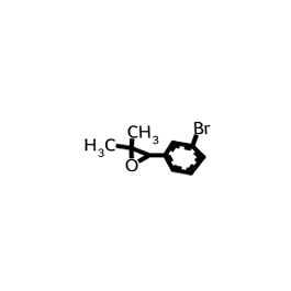 CC1(C)OC1c1cccc(Br)c1